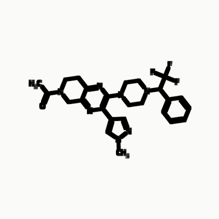 CC(=O)N1CCc2nc(N3CCN(C(c4ccccc4)C(F)(F)F)CC3)c(-c3cnn(C)c3)nc2C1